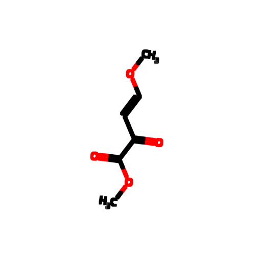 CO/C=C/C(=O)C(=O)OC